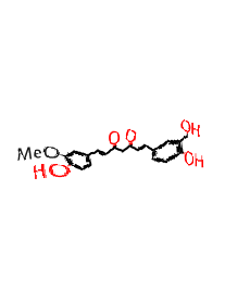 COc1cc(C=CC(=O)CC(=O)C=Cc2ccc(O)c(CO)c2)ccc1O